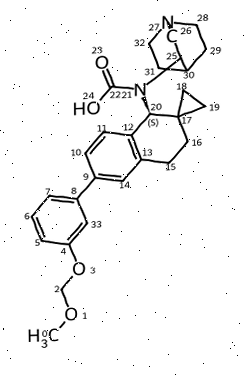 COCOc1cccc(-c2ccc3c(c2)CCC2(CC2)[C@@H]3N(C(=O)O)C2CN3CCC2CC3)c1